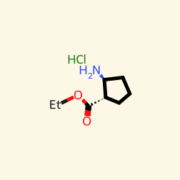 CCOC(=O)[C@H]1CCC[C@@H]1N.Cl